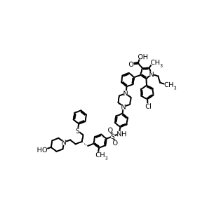 CCCn1c(C)c(C(=O)O)c(-c2cccc(N3CCN(c4ccc(NS(=O)(=O)c5ccc(C[C@H](CCN6CCC(O)CC6)CSc6ccccc6)c(C)c5)cc4)CC3)c2)c1-c1ccc(Cl)cc1